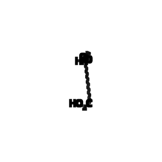 O=C(O)CCCCCCCCCCCCCCCNS(=O)(=O)C1CC1